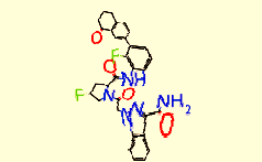 NC(=O)c1nn(CC(=O)N2C[C@H](F)C[C@H]2C(=O)Nc2cccc(-c3ccc4c(c3)C(=O)CCC4)c2F)c2ccccc12